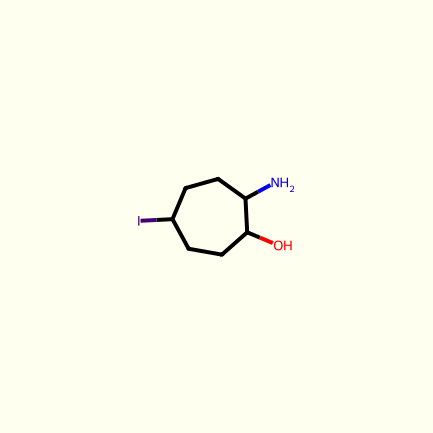 NC1CCC(I)CCC1O